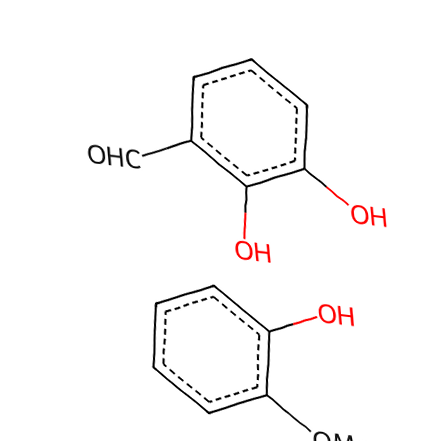 COc1ccccc1O.O=Cc1cccc(O)c1O